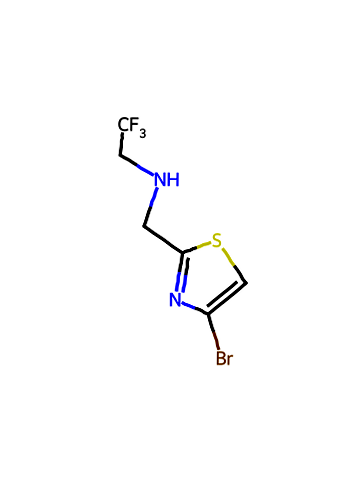 FC(F)(F)CNCc1nc(Br)cs1